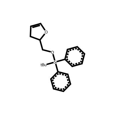 CC(C)(C)[Si](OCC1CC=CO1)(c1ccccc1)c1ccccc1